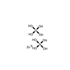 O[Si](O)(O)O.O[Si](O)(O)O.[Ti].[Zn]